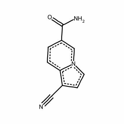 N#Cc1ccn2cc(C(N)=O)ccc12